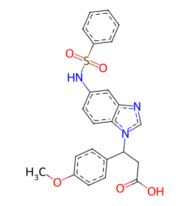 COc1ccc(C(CC(=O)O)n2cnc3cc(NS(=O)(=O)c4ccccc4)ccc32)cc1